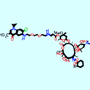 CC[C@H]1OC(=O)[C@H](C)[C@@H](OC2C[C@@](C)(OC)[C@@H](OC(=O)CCNCCOCCOCCNc3cc4c(=O)c(C(=O)O)cn(C5CC5)c4cc3Cl)[C@H](C)O2)[C@H](C)[C@@H](OC2O[C@H](C)C[C@H](N(C)C)[C@H]2O)[C@](C)(O)C[C@@H](C)/C(=N\OC2(OC(C)C)CCCCC2)[C@H](C)[C@@H](O)[C@]1(C)O